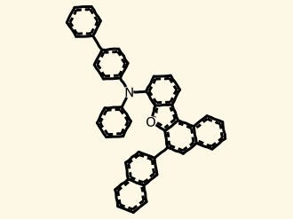 c1ccc(-c2ccc(N(c3ccccc3)c3cccc4c3oc3c(-c5ccc6ccccc6c5)cc5ccccc5c34)cc2)cc1